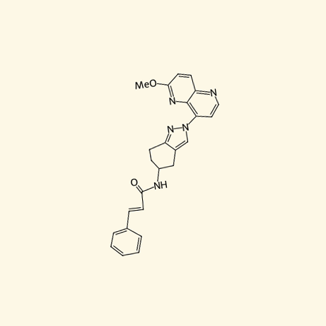 COc1ccc2nccc(-n3cc4c(n3)CCC(NC(=O)C=Cc3ccccc3)C4)c2n1